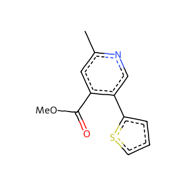 COC(=O)c1cc(C)ncc1-c1cccs1